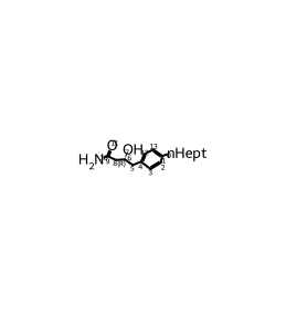 CCCCCCCc1ccc(C[C@@H](O)CC(N)=O)cc1